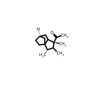 CC(=O)[C@]1(C)C(C)[C@H](C)C23CC[C@@H](CC21)C3